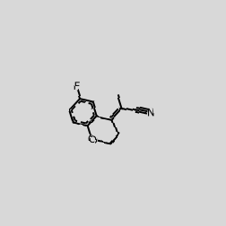 C/C(C#N)=C1/CCOc2ccc(F)cc21